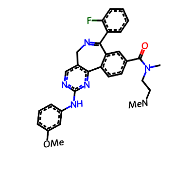 CNCCN(C)C(=O)c1ccc2c(c1)C(c1ccccc1F)=NCc1cnc(Nc3cccc(OC)c3)nc1-2